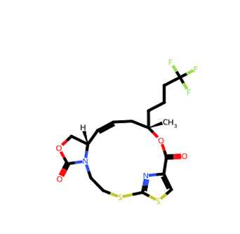 C[C@]1(CCCC(F)(F)F)C/C=C\[C@H]2COC(=O)N2CCSc2nc(cs2)C(=O)O1